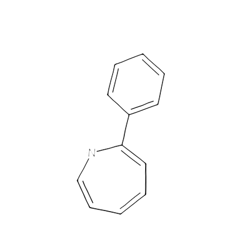 C1=CC=C(c2ccccc2)[N]C=C1